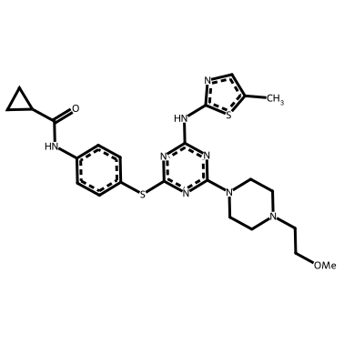 COCCN1CCN(c2nc(Nc3ncc(C)s3)nc(Sc3ccc(NC(=O)C4CC4)cc3)n2)CC1